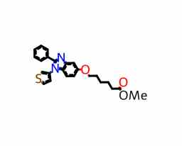 COC(=O)CCCCCOc1ccc2c(c1)nc(-c1ccccc1)n2-c1ccsc1